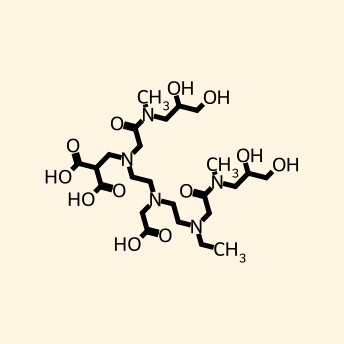 CCN(CCN(CCN(CC(=O)N(C)CC(O)CO)CC(C(=O)O)C(=O)O)CC(=O)O)CC(=O)N(C)CC(O)CO